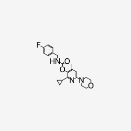 Cc1cc(N2CCOCC2)nc(C2CC2)c1OC(=O)NCc1ccc(F)cc1